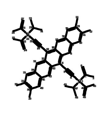 C=C(C)[Si](C#Cc1c2cc3cc(C)c(C)cc3cc2c(C#C[Si](C(=C)C)(C(=C)C)C(C)C)c2cc3cc(C)c(C)cc3cc12)(C(=C)C)C(C)C